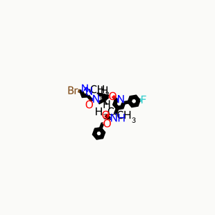 Cn1nc(Br)cc1C(=O)N1C[C@@H]2C(Oc3cc(C(C)(C)NC(=O)OCc4ccccc4)cc(-c4ccc(F)cc4)n3)[C@@H]2C1